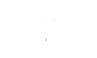 CC(=O)O[C@H]1C(=O)N[C@H]2OC(=O)[C@]34CC(=O)O[C@H]3C=C(C(C)(C)C)[C@@]214